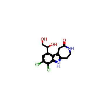 O=C1Cc2c([nH]c3c(Cl)c(Cl)cc(C(O)CO)c23)CCN1